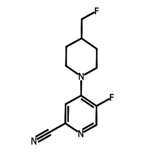 N#Cc1cc(N2CCC(CF)CC2)c(F)cn1